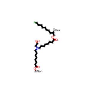 CCCCCCCCCOC(=O)CCCCCCCN(CCO)CCCCCCCC(=O)OCC(CCCCCC)CCCCCCCCF